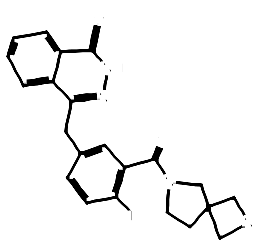 O=C(c1cc(Cc2n[nH]c(=O)c3ccccc23)ccc1F)N1CCC2(CNC2)C1